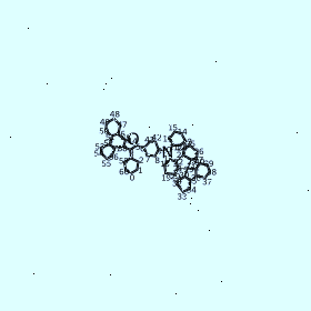 c1ccc(-c2c(-c3ccc(N(c4ccccc4)c4cccc5c4-c4ccccc4C54c5ccccc5-c5ccccc54)cc3)oc3c4ccccc4c4ccccc4c23)cc1